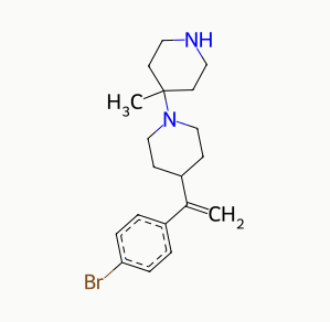 C=C(c1ccc(Br)cc1)C1CCN(C2(C)CCNCC2)CC1